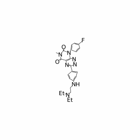 CCN(CC)CCNc1ccc(-c2nnc3c(n2)c(=O)n(C)c(=O)n3-c2ccc(F)cc2)cc1